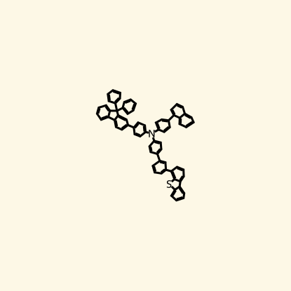 c1ccc(C2(c3ccccc3)c3ccccc3-c3ccc(-c4ccc(N(c5ccc(-c6cccc(-c7cccc8c7sc7ccccc78)c6)cc5)c5ccc(-c6cccc7ccccc67)cc5)cc4)cc32)cc1